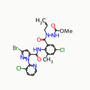 C=CCN(NC(=O)OC)C(=O)c1cc(Cl)cc(C)c1NC(=O)c1cc(Br)nn1-c1ncccc1Cl